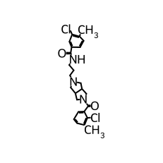 Cc1ccc(C(=O)NCCCN2CC3CN(C(=O)c4cccc(C)c4Cl)CC3C2)cc1Cl